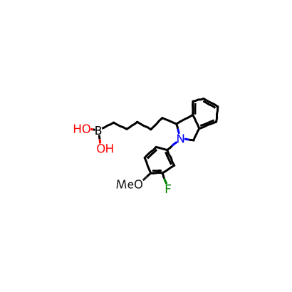 COc1ccc(N2Cc3ccccc3C2CCCCCB(O)O)cc1F